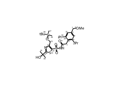 COCc1cc(C(C)C)c(CC(=O)NS(=O)(=O)c2sc(C(C)(C)O)nc2CO[Si](C)(C)C(C)(C)C)c(C(C)C)c1